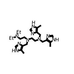 CCN(CC)CCN(CCN(Cc1nc[nH]c1C)Cc1nc[nH]c1C)Cc1nc[nH]c1C